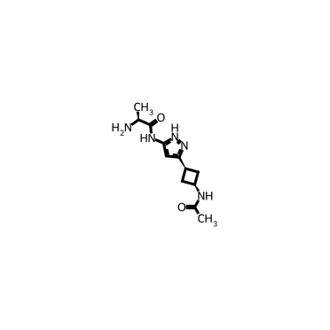 CC(=O)N[C@H]1C[C@@H](c2cc(NC(=O)[C@H](C)N)[nH]n2)C1